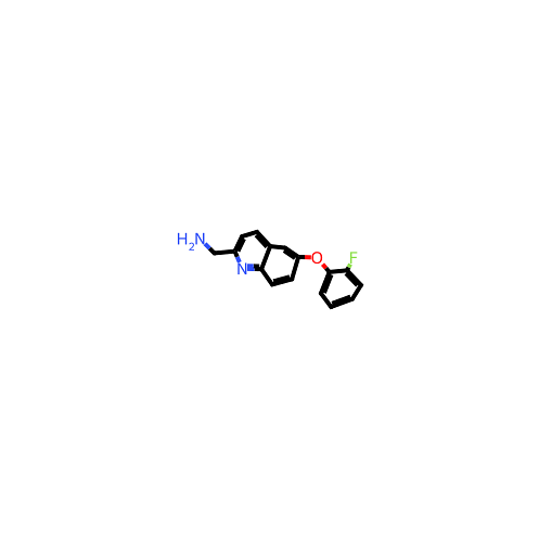 NCc1ccc2cc(Oc3ccccc3F)ccc2n1